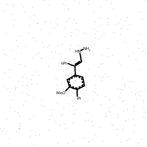 CCC/C(=C\NN)c1ccc(C(C)C)c(OC)c1